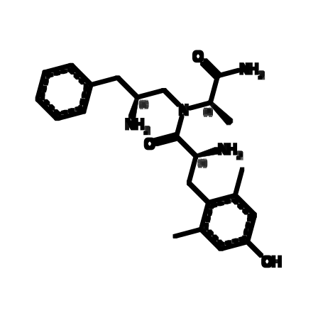 Cc1cc(O)cc(C)c1C[C@H](N)C(=O)N(C[C@@H](N)Cc1ccccc1)[C@H](C)C(N)=O